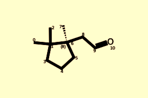 CC1(C)CCC[C@]1(C)CC=O